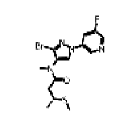 CS[C@@H](C)CC(=O)N(C)c1cn(-c2cncc(F)c2)nc1Br